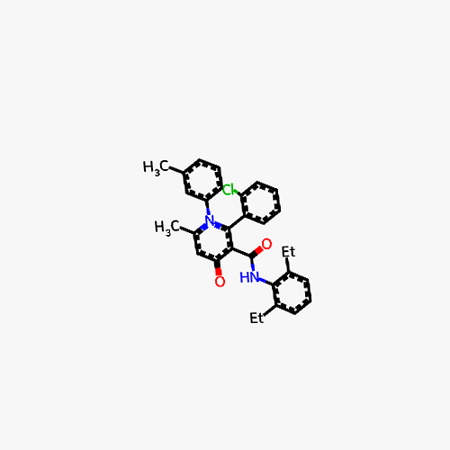 CCc1cccc(CC)c1NC(=O)c1c(-c2ccccc2Cl)n(-c2cccc(C)c2)c(C)cc1=O